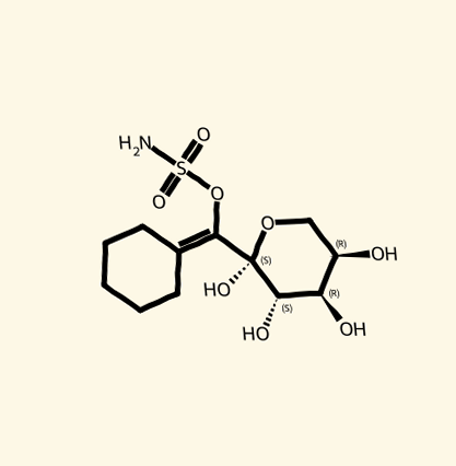 NS(=O)(=O)OC(=C1CCCCC1)[C@@]1(O)OC[C@@H](O)[C@@H](O)[C@@H]1O